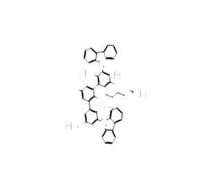 COCCCCOc1c(-c2cc(C)cc(-n3c4ccccc4c4ccccc43)c2O)cc(C)cc1-c1cc(C)cc(-n2c3ccccc3c3ccccc32)c1O